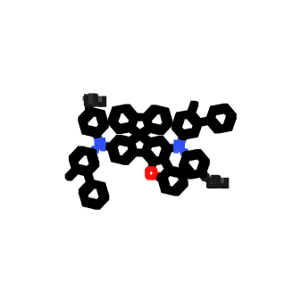 Cc1ccc(N(c2ccc(C(C)(C)C)cc2)c2ccc3c(c2)C2(c4ccccc4-c4ccccc42)c2cc(N(c4ccc(C(C)(C)C)cc4)c4ccc(C)c(-c5ccccc5)c4)c4c(oc5ccccc54)c2-3)cc1-c1ccccc1